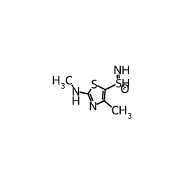 CNc1nc(C)c([SH](=N)=O)s1